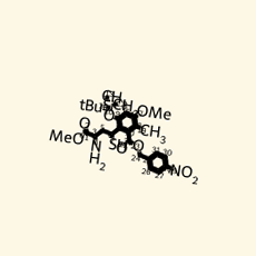 COC(=O)C(N)CC(S)c1c(O[Si](C)(C)C(C)(C)C)cc(OC)c(C)c1C(=O)OCc1ccc([N+](=O)[O-])cc1